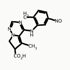 CC1=C2C(Nc3cc(N=O)ccc3C)=NC=NN2CC1C(=O)O